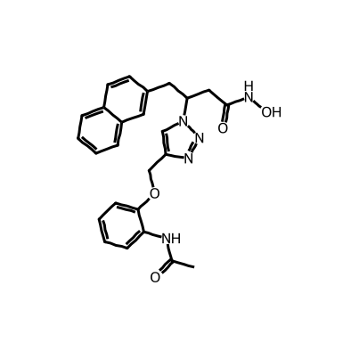 CC(=O)Nc1ccccc1OCc1cn(C(CC(=O)NO)Cc2ccc3ccccc3c2)nn1